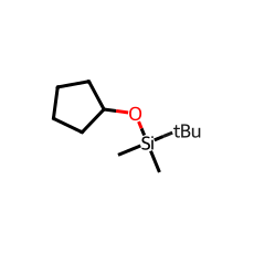 CC(C)(C)[Si](C)(C)OC1CCCC1